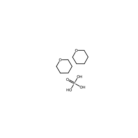 C1CCOCC1.C1CCOCC1.O=P(O)(O)O